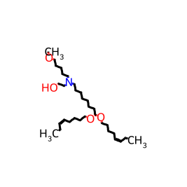 CC/C=C\CCCCOC(CCCCCCCN(CCO)CCCCCOC)OCCCC/C=C\CC